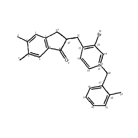 Cc1cc2c(cc1C)C(=O)C(Cc1cc[n+](Cc3ccccc3C)cc1Br)C2